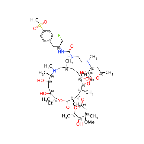 CC[C@H]1OC(=O)[C@H](C)[C@@H](O[C@H]2C[C@@](C)(OC)[C@@H](O)[C@H](C)O2)[C@H](C)[C@@H](O[C@@H]2O[C@H](C)C[C@H](N(C)CCNC(=O)N[C@H](CF)Cc3ccc(S(C)(=O)=O)cc3)[C@H]2O)[C@](C)(O)CC[C@@H](C)CN(C)[C@H](C)[C@@H](O)C[C@]1(C)O